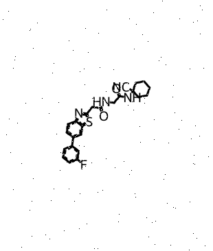 N#CC1(NC(=O)CNC(=O)Cc2nc3ccc(-c4cccc(F)c4)cc3s2)CCCCC1